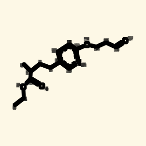 CCOC(=O)C(C)CCc1ccc(OCCC=O)nc1